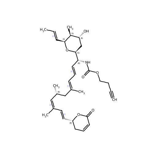 C#CCCOC(=O)N[C@H](/C=C/C=C(\C)C[C@@H](C)/C=C(C)\C=C\[C@H]1CC=CC(=O)O1)[C@@H]1C[C@@H](O)[C@H](C)[C@H](/C=C/C)O1